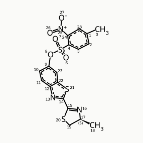 Cc1ccc(S(=O)(=O)Oc2ccc3nc(C4=N[C@@H](C)CS4)sc3c2)c([N+](=O)[O-])c1